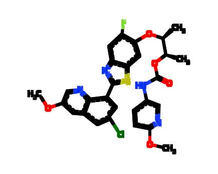 COc1cnc2c(-c3nc4cc(F)c(O[C@@H](C)[C@@H](C)OC(=O)Nc5ccc(OC)nc5)cc4s3)cc(Cl)cc2c1